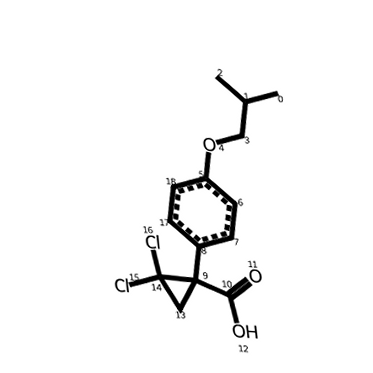 CC(C)COc1ccc(C2(C(=O)O)CC2(Cl)Cl)cc1